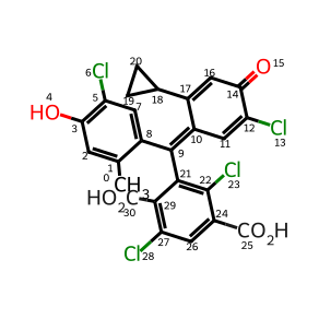 Cc1cc(O)c(Cl)cc1/C(=C1/C=C(Cl)C(=O)C=C1C1CC1)c1c(Cl)c(C(=O)O)cc(Cl)c1C(=O)O